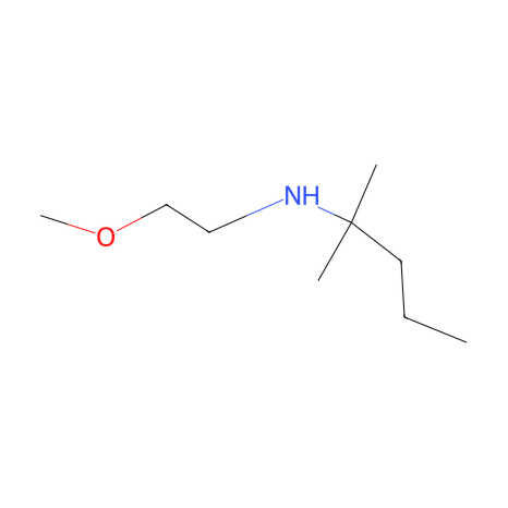 CCCC(C)(C)NCCOC